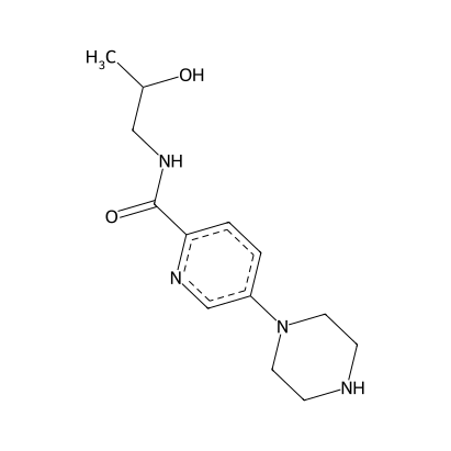 CC(O)CNC(=O)c1ccc(N2CCNCC2)cn1